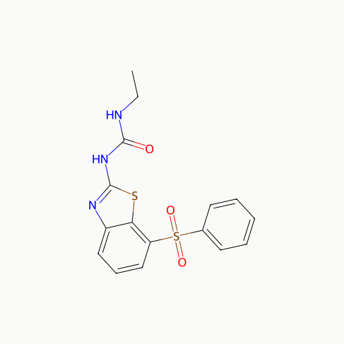 CCNC(=O)Nc1nc2cccc(S(=O)(=O)c3ccccc3)c2s1